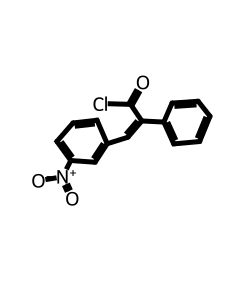 O=C(Cl)/C(=C\c1cccc([N+](=O)[O-])c1)c1ccccc1